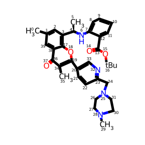 Cc1cc([C@@H](C)Nc2ccccc2C(=O)OC(C)(C)C)c2oc(-c3ccc(CN4CCN(C)CC4)nc3)c(C)c(=O)c2c1